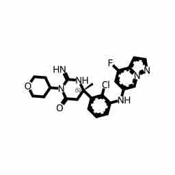 C[C@@]1(c2cccc(Nc3cc(F)c4ccnn4c3)c2Cl)CC(=O)N(C2CCOCC2)C(=N)N1